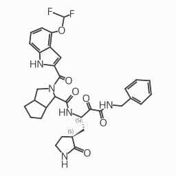 O=C(NCc1ccccc1)C(=O)[C@H](C[C@@H]1CCNC1=O)NC(=O)C1C2CCCC2CN1C(=O)c1cc2c(OC(F)F)cccc2[nH]1